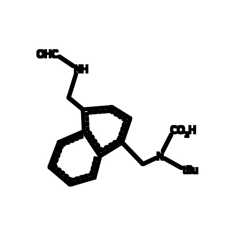 CC(C)(C)N(Cc1ccc(CNC=O)c2ccccc12)C(=O)O